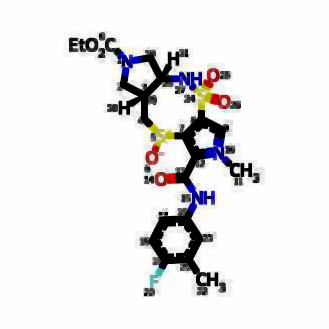 CCOC(=O)N1C[C@H]2C[S+]([O-])c3c(cn(C)c3C(=O)Nc3ccc(F)c(C)c3)S(=O)(=O)N[C@H]2C1